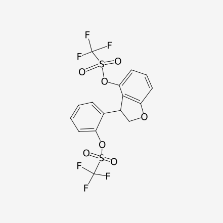 O=S(=O)(Oc1ccccc1C1COc2cccc(OS(=O)(=O)C(F)(F)F)c21)C(F)(F)F